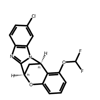 FC(F)Oc1cccc2c1[C@H]1C[C@@H](O2)c2nc3ccc(Cl)cc3n21